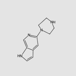 c1cc2cc(N3CCNCC3)ncc2[nH]1